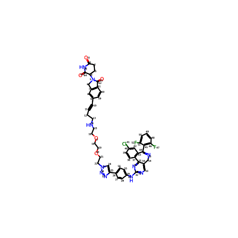 O=C1CCC(N2Cc3cc(C#CCCNCCOCCOCCn4cc(-c5ccc(Nc6ncc7c(n6)-c6ccc(Cl)cc6C(c6c(F)cccc6F)=NC7)cc5)nn4)ccc3C2=O)C(=O)N1